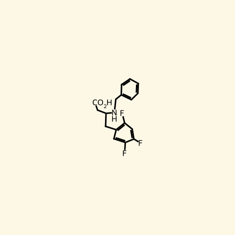 O=C(O)CC(Cc1cc(F)c(F)cc1F)NCc1ccccc1